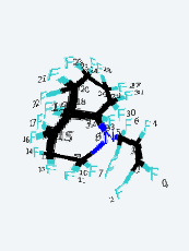 FC(F)=C(F)C(F)(F)N1C(F)(F)C(F)(F)C(F)(F)C2(F)C(F)(F)C(F)(F)C(F)(F)C(F)(F)C12F